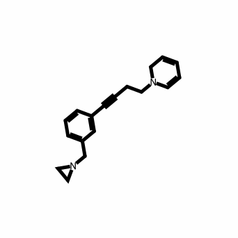 C(#Cc1cccc(CN2CC2)c1)CCN1C=CC=CC1